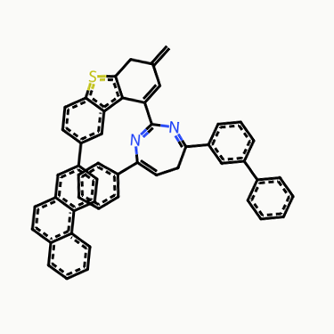 C=C1C=C(C2=NC(c3ccccc3)=CCC(c3cccc(-c4ccccc4)c3)=N2)c2c(sc3ccc(-c4ccc5c(ccc6ccccc65)c4)cc23)C1